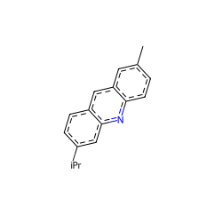 Cc1ccc2nc3cc(C(C)C)ccc3cc2c1